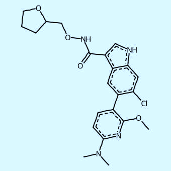 COc1nc(N(C)C)ccc1-c1cc2c(C(=O)NOCC3CCCO3)c[nH]c2cc1Cl